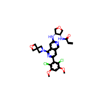 C=CC(=O)N[C@H]1COC[C@H]1Nc1cc2c(N3CC4(COC4)C3)nc(-c3c(Cl)c(OC)cc(OC)c3Cl)cc2cn1